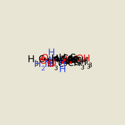 CCCC1(C(=O)NCCc2cccc(C(=O)NC(CCC(=O)OC)C(N)=O)c2)CC[C@]2(C)C(CCC3C4(C)CCC(O)C(C)(C)C4CCC32C)C1C